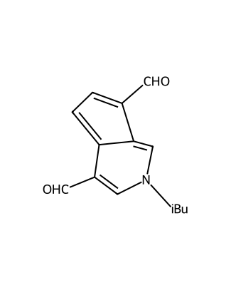 CCC(C)n1cc(C=O)c2ccc(C=O)c-2c1